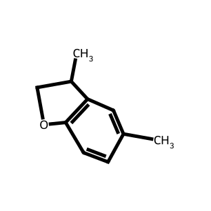 Cc1ccc2c(c1)C(C)CO2